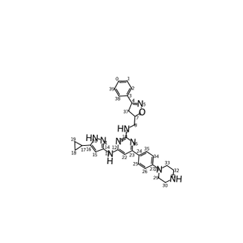 c1ccc(C2=NOC(CNc3nc(Nc4cc(C5CC5)[nH]n4)cc(-c4ccc(N5CCNCC5)cc4)n3)C2)cc1